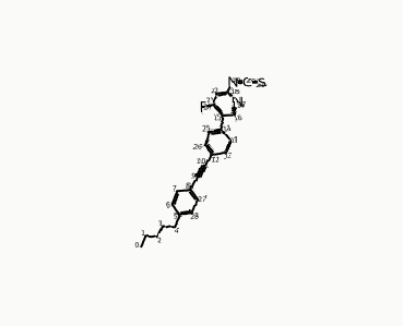 CCCCCc1ccc(C#Cc2ccc(-c3cnc(N=C=S)cc3F)cc2)cc1